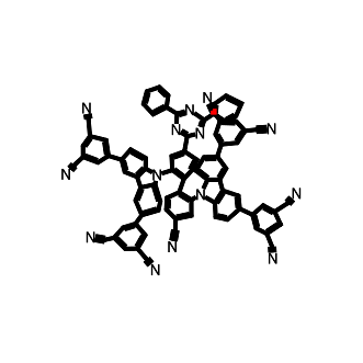 N#Cc1cc(C#N)cc(-c2ccc3c(c2)c2cc(-c4cc(C#N)cc(C#N)c4)ccc2n3-c2cc(C#N)ccc2-c2ccc(-c3nc(-c4ccccc4)nc(-c4ccccc4)n3)cc2-n2c3ccc(-c4cc(C#N)cc(C#N)c4)cc3c3cc(-c4cc(C#N)cc(C#N)c4)ccc32)c1